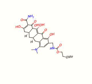 COCCOC(=O)NCc1cc(N(C)C)c2c(c1O)C(=O)C1=C(O)[C@]3(O)C(=O)C(C(N)=O)=C(O)C[C@@H]3C[C@@H]1C2